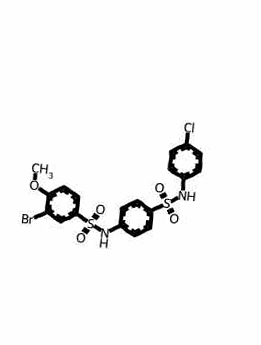 COc1ccc(S(=O)(=O)Nc2ccc(S(=O)(=O)Nc3ccc(Cl)cc3)cc2)cc1Br